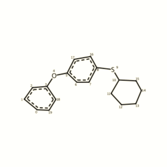 c1ccc(Oc2ccc(SC3CCCCC3)cc2)cc1